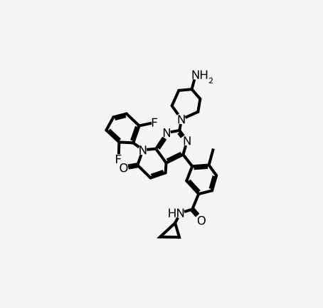 Cc1ccc(C(=O)NC2CC2)cc1-c1nc(N2CCC(N)CC2)nc2c1ccc(=O)n2-c1c(F)cccc1F